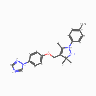 CC1=C(COc2ccc(-n3cncn3)cc2)C(C)(C)NN1c1ccc(C#N)cc1